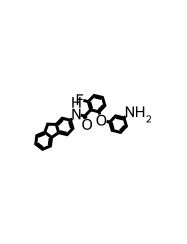 Nc1cccc(Oc2cccc(F)c2C(=O)Nc2ccc3c(c2)Cc2ccccc2-3)c1